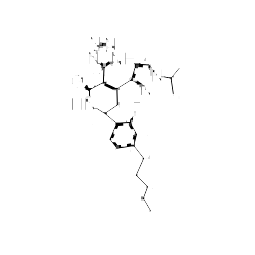 CCCCCc1ccc([C@]2(C)CC(c3ccn(C(C)C)n3)=C(c3nnn[nH]3)C(=O)N2)c(F)c1